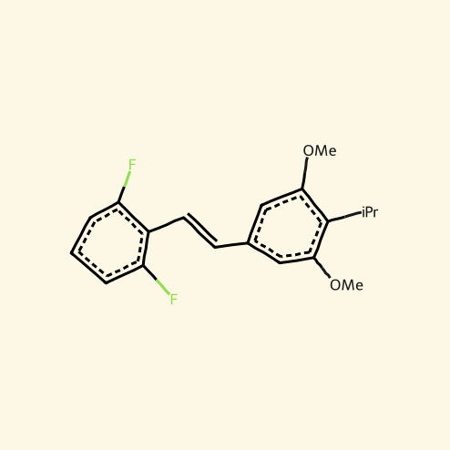 COc1cc(C=Cc2c(F)cccc2F)cc(OC)c1C(C)C